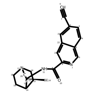 C#Cc1ccc2cnc(C(=O)N[C@@H]3CC4CCN(CC4)C3)cc2c1